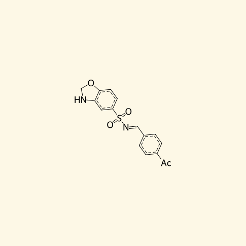 CC(=O)c1ccc(C=NS(=O)(=O)c2ccc3c(c2)NCO3)cc1